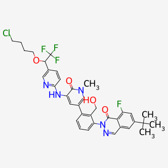 Cn1cc(-c2cccc(-n3ncc4cc(C(C)(C)C)cc(F)c4c3=O)c2CO)cc(Nc2ccc(C(OCCCCCl)C(F)(F)F)cn2)c1=O